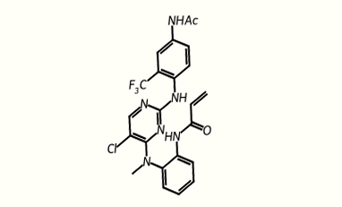 C=CC(=O)Nc1ccccc1N(C)c1nc(Nc2ccc(NC(C)=O)cc2C(F)(F)F)ncc1Cl